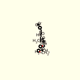 CC(C)N(CCNC(=O)OCc1ccc([N+](=O)[O-])cc1)C(=O)c1csc(N2CC(O[Si](c3ccccc3)(c3ccccc3)C(C)(C)C)C2)n1